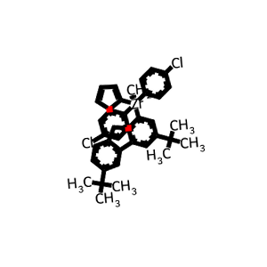 [CH2]=[Zr]([C]1=CC=CC1)([c]1ccc(Cl)cc1)([c]1ccc(Cl)cc1)[c]1cc(C(C)(C)C)cc2c1Cc1ccc(C(C)(C)C)cc1-2